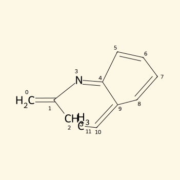 C=C(C)/N=C1/C=CC=C/C1=C/C